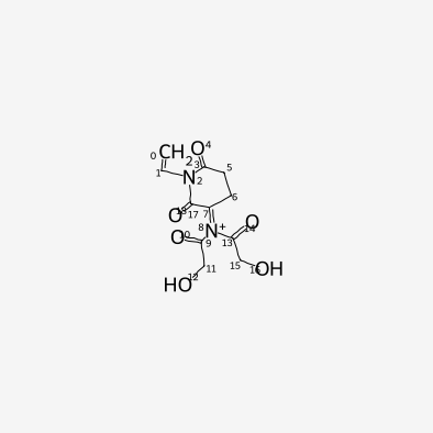 C=CN1C(=O)CCC(=[N+](C(=O)CO)C(=O)CO)C1=O